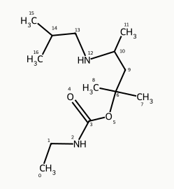 CCNC(=O)OC(C)(C)CC(C)NCC(C)C